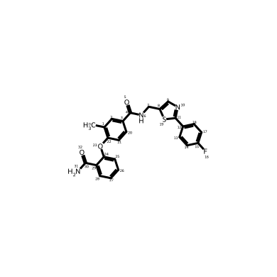 Cc1cc(C(=O)NCc2cnc(-c3ccc(F)cc3)s2)ccc1Oc1ccccc1C(N)=O